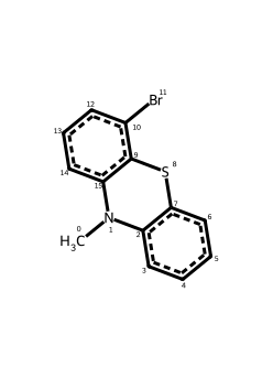 CN1c2ccccc2Sc2c(Br)cccc21